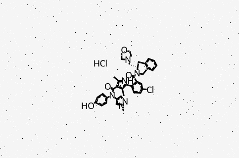 Cc1[nH]c(-c2ccc(Cl)cc2C(=O)N2Cc3ccccc3C[C@H]2CN2CCOCC2)c(C)c1C(=O)N(c1ccc(O)cc1)c1cnn(C)c1.Cl